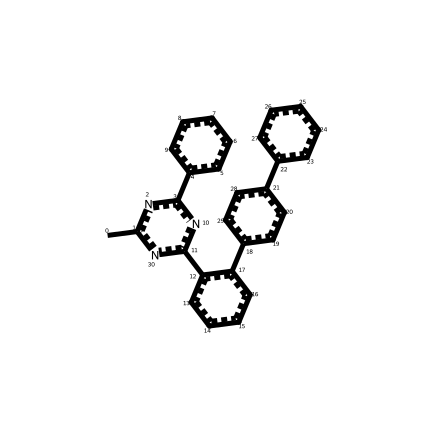 Cc1nc(-c2ccccc2)nc(-c2ccccc2-c2ccc(-c3ccccc3)cc2)n1